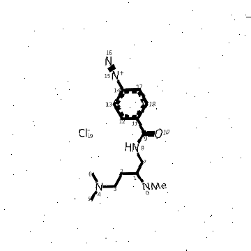 CNC(CCN(C)C)CNC(=O)c1ccc([N+]#N)cc1.[Cl-]